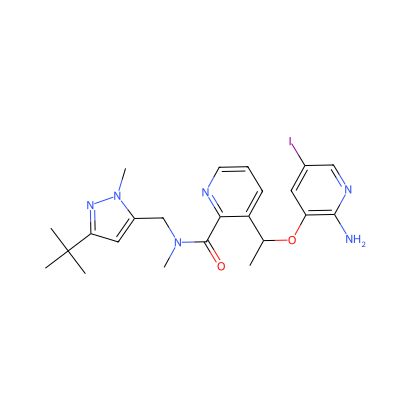 CC(Oc1cc(I)cnc1N)c1cccnc1C(=O)N(C)Cc1cc(C(C)(C)C)nn1C